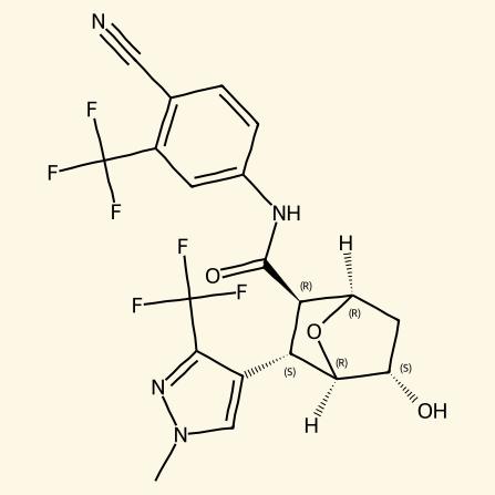 Cn1cc([C@H]2[C@H]3O[C@H](C[C@@H]3O)[C@@H]2C(=O)Nc2ccc(C#N)c(C(F)(F)F)c2)c(C(F)(F)F)n1